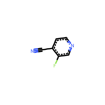 N#Cc1c[c]ncc1F